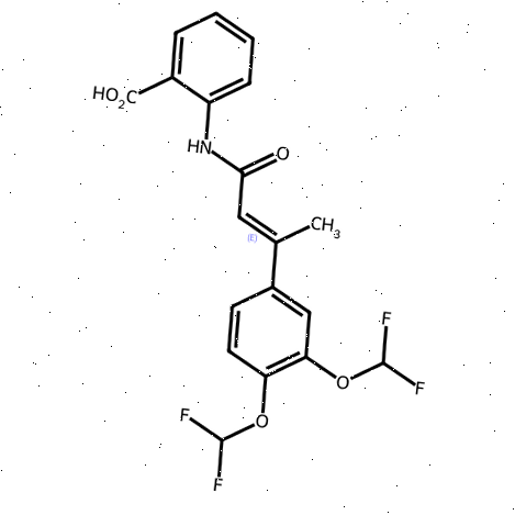 C/C(=C\C(=O)Nc1ccccc1C(=O)O)c1ccc(OC(F)F)c(OC(F)F)c1